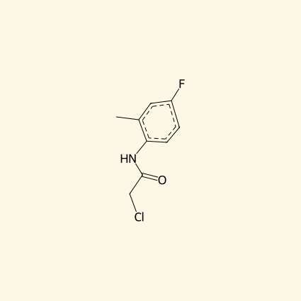 Cc1cc(F)ccc1NC(=O)CCl